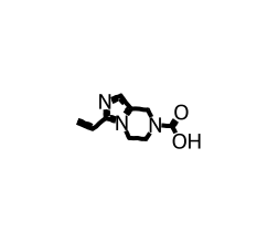 C=Cc1ncc2n1CCN(C(=O)O)C2